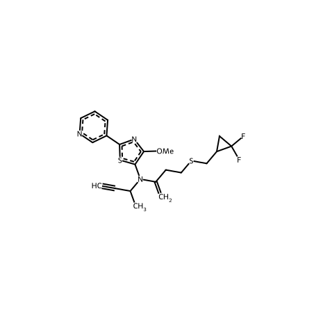 C#CC(C)N(C(=C)CCSCC1CC1(F)F)c1sc(-c2cccnc2)nc1OC